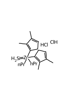 CC[CH2][Zr](=[SiH2])([CH2]CC)([C]1=C(C)C(C)=CC1)[C]1=C(C)C(C)=CC1.Cl.Cl